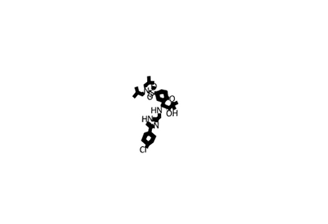 CC(C)CN(CC(C)C)S(=O)(=O)c1ccc2c(c1)[C@@H](NCc1nc(-c3ccc(Cl)cc3)c[nH]1)[C@H](O)C(C)(C)O2